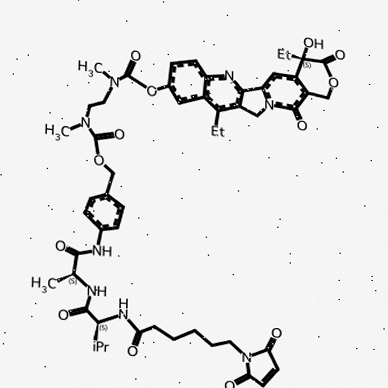 CCc1c2c(nc3ccc(OC(=O)N(C)CCN(C)C(=O)OCc4ccc(NC(=O)[C@H](C)NC(=O)[C@@H](NC(=O)CCCCCN5C(=O)C=CC5=O)C(C)C)cc4)cc13)-c1cc3c(c(=O)n1C2)COC(=O)[C@]3(O)CC